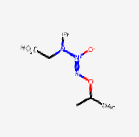 CC(=O)OC(C)O/N=[N+](\[O-])N(CC(=O)O)C(C)C